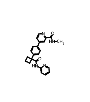 CNC(=O)c1cc(-c2ccc(C3(C(=O)Nc4ccccn4)CCC3)cc2)ccn1